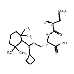 COC(=O)[C@H](CSC(C1CCC1)C1C(C)(C)CCCC1(C)C)NC(=O)[C@@H](N)CC(=O)O